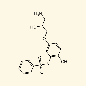 NC[C@H](O)COc1ccc(O)c(NS(=O)(=O)c2ccccc2)c1